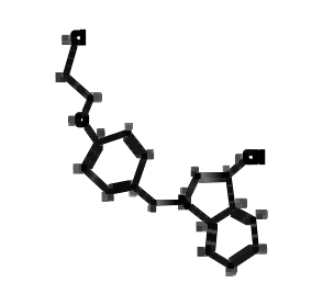 N#Cc1cn(Cc2ccc(OCCCl)cc2)c2ccccc12